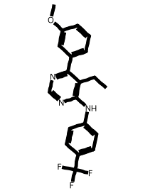 CCc1c(Nc2ccc(C(F)(F)F)cc2)ncnc1-c1cccc(OC)c1